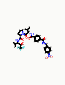 CC(C)C(NC(=O)[C@@H]1CCCN1C(=O)[C@@H](NC(=O)c1ccc(C(=O)NCc2ccc([N+](=O)[O-])cc2)cc1)C(C)C)C(=O)C(F)(F)F